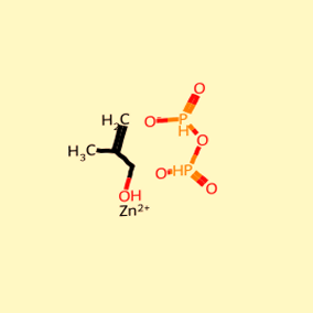 C=C(C)CO.O=[PH]([O-])O[PH](=O)[O-].[Zn+2]